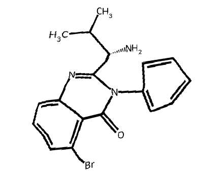 CC(C)[C@H](N)c1nc2cccc(Br)c2c(=O)n1-c1ccccc1